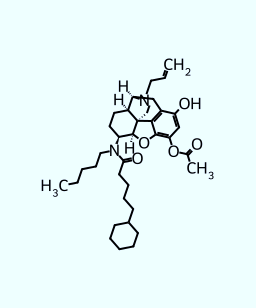 C=CCN1CC[C@]23c4c5c(O)cc(OC(C)=O)c4O[C@H]2[C@@H](N(CCCCC)C(=O)CCCCC2CCCCC2)CC[C@H]3[C@H]1C5